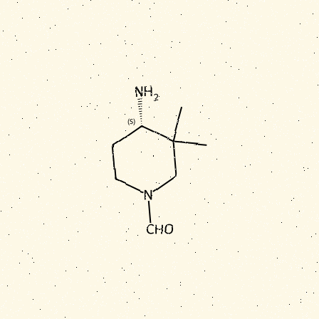 CC1(C)CN(C=O)CC[C@@H]1N